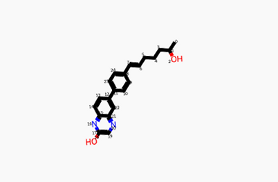 CC(O)CCCC=Cc1ccc(-c2ccc3nc(O)cnc3c2)cc1